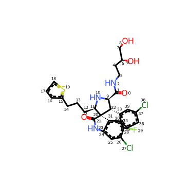 O=C(NCC[C@H](O)CO)[C@@H]1N[C@H](CCCc2cccs2)[C@]2(C(=O)Nc3cc(Cl)c(F)cc32)[C@H]1c1cccc(Cl)c1